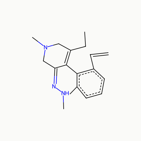 C=Cc1cccc(C)c1C1=C(CC)CN(C)C/C1=N/NC